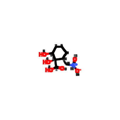 O=C(O)[C@@]1(O)C(O)CCC[C@@H]1C[N+](=O)[O-]